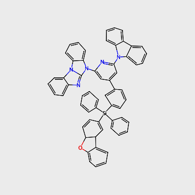 C1=CC2Oc3ccccc3C2C=C1[Si](c1ccccc1)(c1ccccc1)c1cccc(-c2cc(-n3c4ccccc4c4ccccc43)nc(-n3c4ccccc4n4c5ccccc5nc34)c2)c1